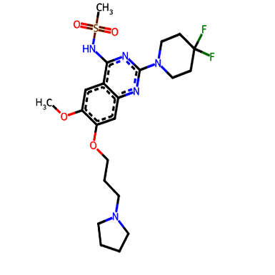 COc1cc2c(NS(C)(=O)=O)nc(N3CCC(F)(F)CC3)nc2cc1OCCCN1CCCC1